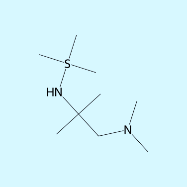 CN(C)CC(C)(C)NS(C)(C)C